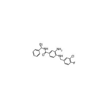 CC[C@@H](NC(=O)c1ccc(NCc2ccc(F)c(Cl)c2)c(N)c1)c1ccccc1